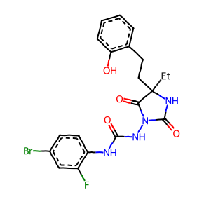 CCC1(CCc2ccccc2O)NC(=O)N(NC(=O)Nc2ccc(Br)cc2F)C1=O